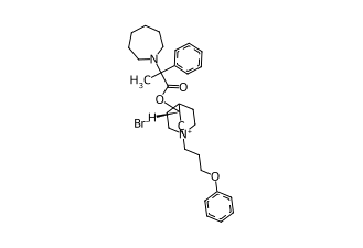 CC(C(=O)O[C@H]1C[N+]2(CCCOc3ccccc3)CCC1CC2)(c1ccccc1)N1CCCCCC1.[Br-]